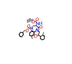 Cc1ccc2c(c1)N(CC(=O)c1ccccc1C)C(=O)C(NC(=O)OC(C)(C)C)CN2C(=O)OCc1ccccc1